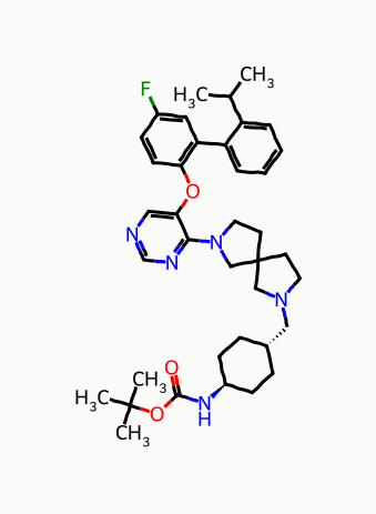 CC(C)c1ccccc1-c1cc(F)ccc1Oc1cncnc1N1CCC2(CCN(C[C@H]3CC[C@H](NC(=O)OC(C)(C)C)CC3)C2)C1